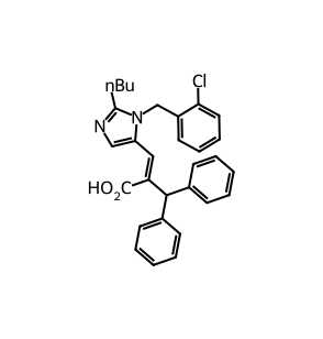 CCCCc1ncc(C=C(C(=O)O)C(c2ccccc2)c2ccccc2)n1Cc1ccccc1Cl